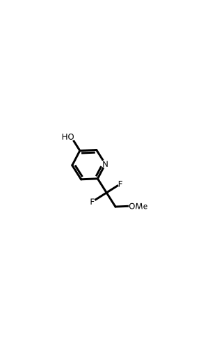 COCC(F)(F)c1ccc(O)cn1